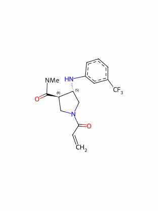 C=CC(=O)N1C[C@@H](Nc2cccc(C(F)(F)F)c2)[C@H](C(=O)NC)C1